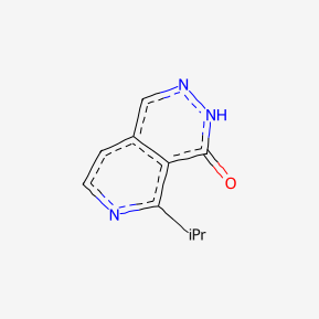 CC(C)c1nccc2cn[nH]c(=O)c12